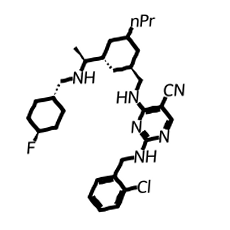 CCCC1C[C@@H](CNc2nc(NCc3ccccc3Cl)ncc2C#N)C[C@H]([C@H](C)NC[C@H]2CC[C@H](F)CC2)C1